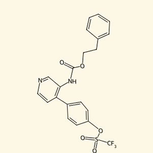 O=C(Nc1cnccc1-c1ccc(OS(=O)(=O)C(F)(F)F)cc1)OCCc1ccccc1